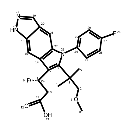 COCC(C)(C)c1c([C@@H](F)CC(=O)O)c2cc3[nH]ncc3cc2n1-c1ccc(F)cc1